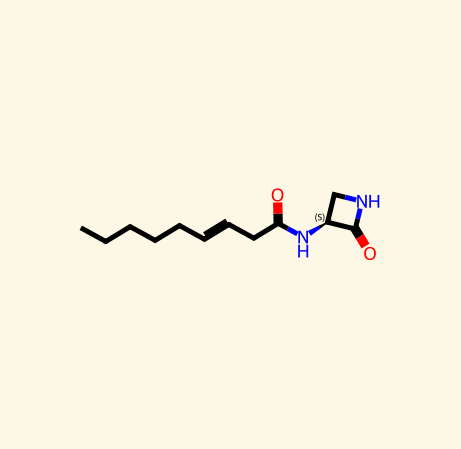 CCCCCC=CCC(=O)N[C@H]1CNC1=O